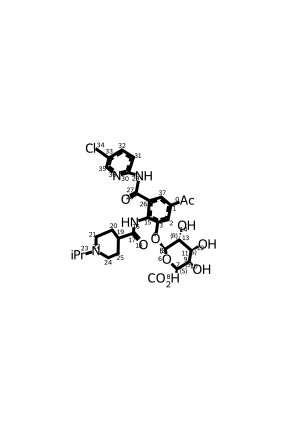 CC(=O)c1cc(O[C@@H]2O[C@H](C(=O)O)[C@@H](O)[C@H](O)[C@H]2O)c(NC(=O)C2CCN(C(C)C)CC2)c(C(=O)Nc2ccc(Cl)cn2)c1